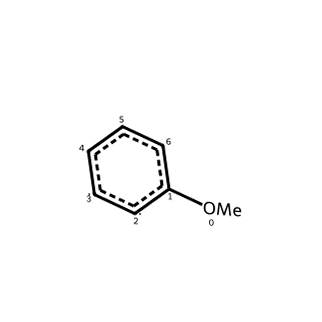 COc1[c][c]ccc1